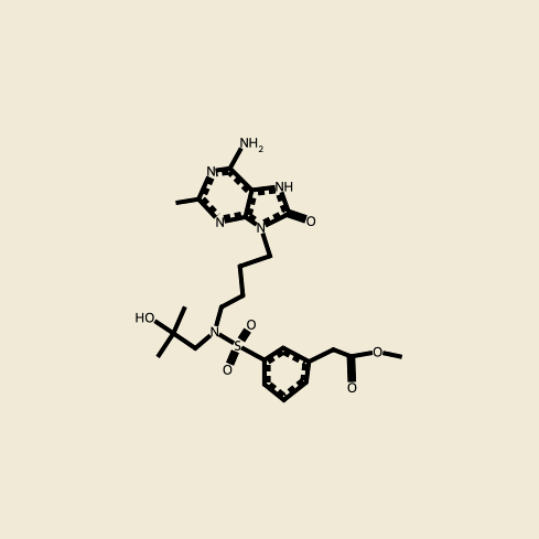 COC(=O)Cc1cccc(S(=O)(=O)N(CCCCn2c(=O)[nH]c3c(N)nc(C)nc32)CC(C)(C)O)c1